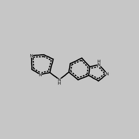 c1cc(Nc2ccc3[nH]ncc3c2)ncn1